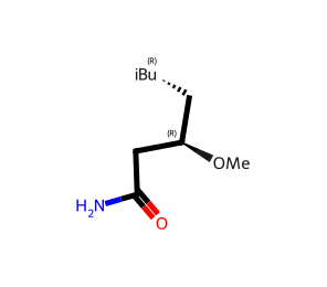 CC[C@@H](C)C[C@H](CC(N)=O)OC